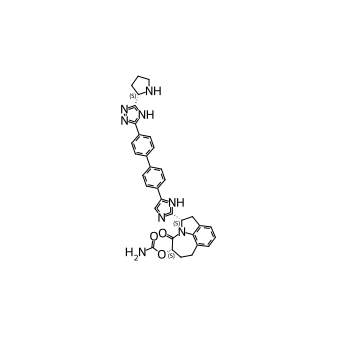 NC(=O)O[C@H]1CCc2cccc3c2N(C1=O)[C@H](c1ncc(-c2ccc(-c4ccc(-c5nnc([C@@H]6CCCN6)[nH]5)cc4)cc2)[nH]1)C3